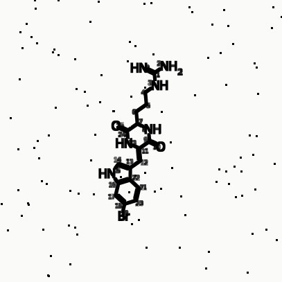 N=C(N)NCCCC1NC(=O)/C(=C/c2c[nH]c3cc(Br)ccc23)NC1=O